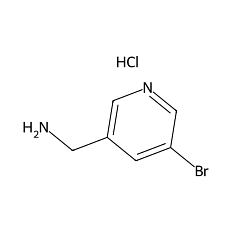 Cl.NCc1cncc(Br)c1